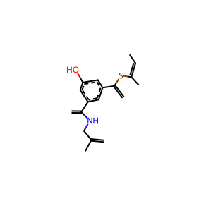 C=C(C)CNC(=C)c1cc(O)cc(C(=C)S/C(C)=C\C)c1